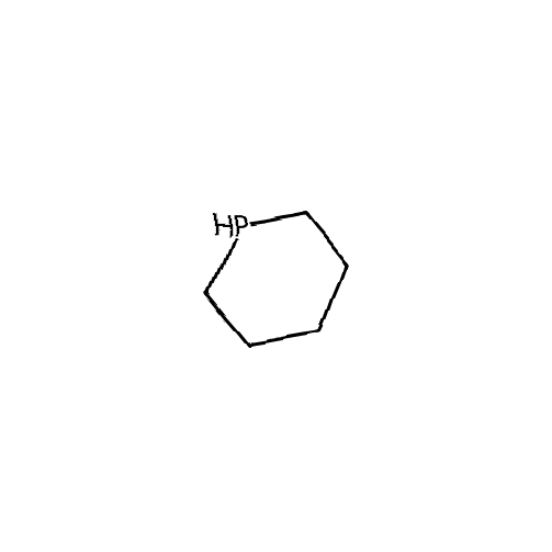 C1CCPCC1